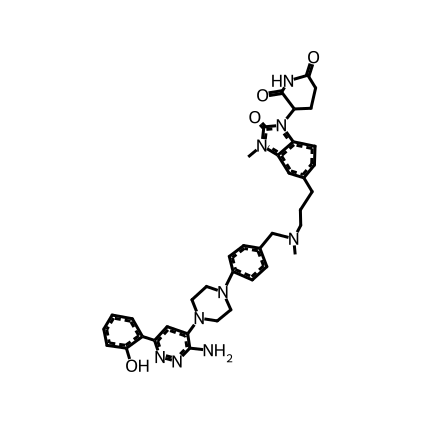 CN(CCCc1ccc2c(c1)n(C)c(=O)n2C1CCC(=O)NC1=O)Cc1ccc(N2CCN(c3cc(-c4ccccc4O)nnc3N)CC2)cc1